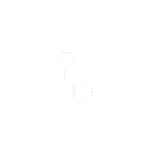 CCOC(=O)c1cc([N+](=O)[O-])nn1Cc1ccccc1